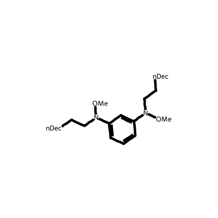 CCCCCCCCCCCCN(OC)c1cccc(N(CCCCCCCCCCCC)OC)c1